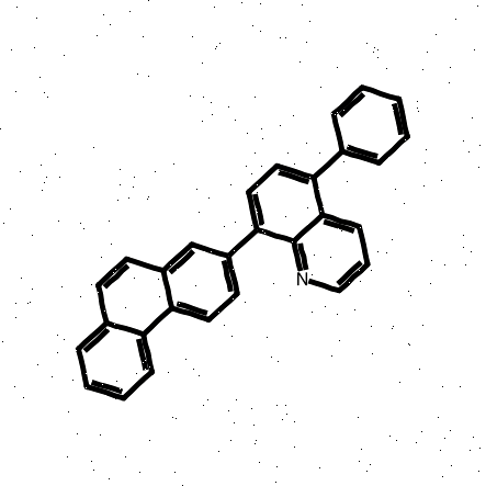 c1ccc(-c2ccc(-c3ccc4c(ccc5ccccc54)c3)c3ncccc23)cc1